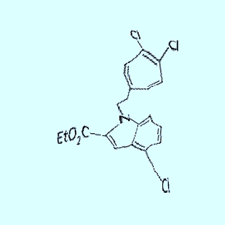 CCOC(=O)c1cc2c(CCl)cccc2n1Cc1ccc(Cl)c(Cl)c1